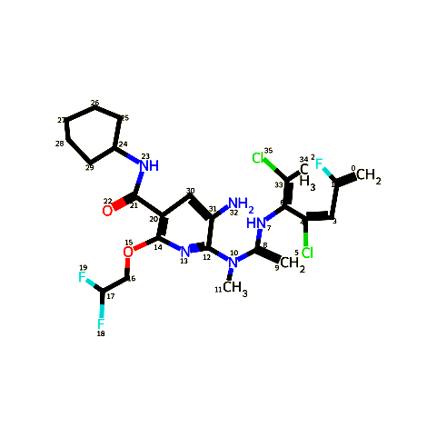 C=C(F)/C=C(Cl)\C(NC(=C)N(C)c1nc(OCC(F)F)c(C(=O)NC2CCCCC2)cc1N)=C(/C)Cl